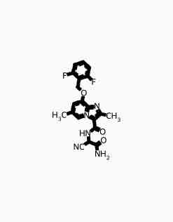 Cc1cc(OCc2c(F)cccc2F)c2nc(C)c(C(=O)NC(C#N)C(N)=O)n2c1